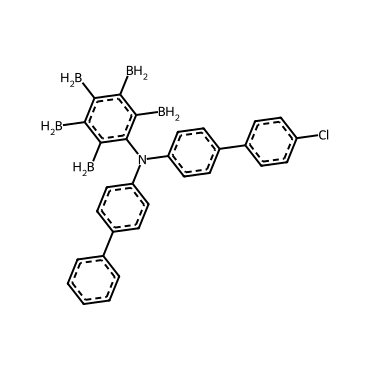 Bc1c(B)c(B)c(N(c2ccc(-c3ccccc3)cc2)c2ccc(-c3ccc(Cl)cc3)cc2)c(B)c1B